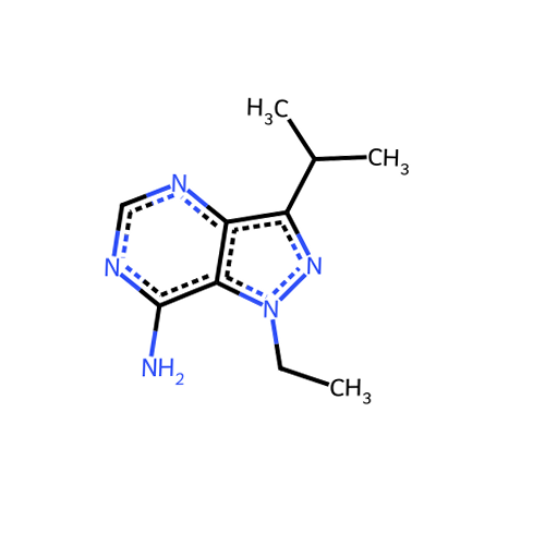 CCn1nc(C(C)C)c2ncnc(N)c21